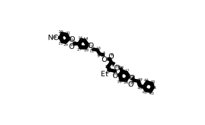 CCC(CC(C)C(=O)OCCCCOc1ccc(C(=O)Oc2ccc(C#N)cc2)cc1)C(=O)Oc1ccc(OC(=O)/C=C/c2ccccc2)cc1C